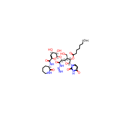 CCCCCCCCCCCCCCCC(=O)O[C@@H]1[C@H](CO)[C@@H]([C@@H](O[C@H]2OC(C(=O)N[C@H]3CCCCNC3=O)=C[C@H](O)[C@@H]2O)C(=O)NN=N)O[C@H]1n1ccc(=O)[nH]c1=O